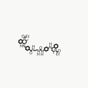 CCC(=O)N1c2ccccc2[C@H](Nc2ccc(NC(=O)NCCNC(=O)c3ccc(N[C@@H]4C[C@H](C)N(C(=O)CC)c5ccccc54)cc3)cc2)C[C@@H]1C